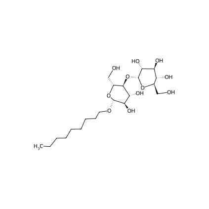 CCCCCCCCCO[C@@H]1O[C@H](CO)[C@@H](O[C@H]2O[C@H](CO)[C@@H](O)[C@H](O)[C@H]2O)[C@H](O)[C@H]1O